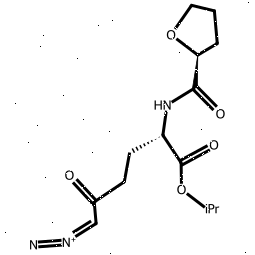 CC(C)OC(=O)[C@H](CCC(=O)C=[N+]=[N-])NC(=O)[C@@H]1CCCO1